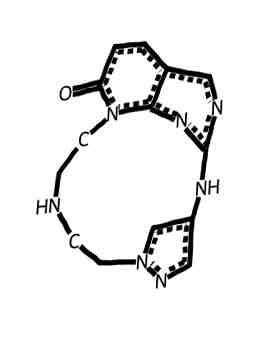 O=c1ccc2cnc3nc2n1CCNCCn1cc(cn1)N3